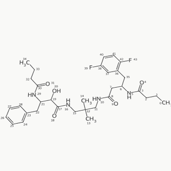 CCCC(=O)NC(CC(=O)NCC(C)(C)CNC(=O)C(O)C(Cc1ccccc1)NC(=O)CCC)Cc1cc(F)ccc1F